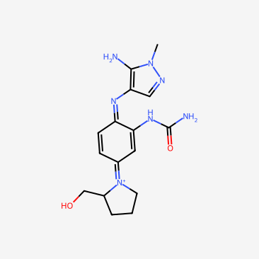 Cn1ncc(/N=C2C=C/C(=[N+]3/CCCC3CO)C=C/2NC(N)=O)c1N